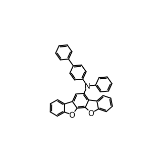 c1ccc(-c2ccc(N(c3ccccc3)c3cc4c5ccccc5oc4c4oc5ccccc5c34)cc2)cc1